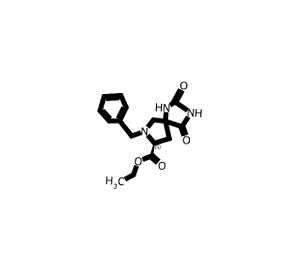 CCOC(=O)[C@@H]1CC2(CN1Cc1ccccc1)NC(=O)NC2=O